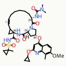 COc1ccc2c(O[C@@H]3C[C@H]4C(=O)N[C@]5(C(=O)NS(=O)(=O)C6(C)CC6)CC5/C=C\CCCCC[C@H](NC(=O)N(C)C)C(=O)N4C3)cc(OC3CC3)nc2c1C